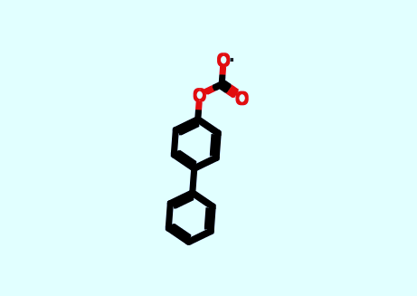 [O]C(=O)Oc1ccc(-c2ccccc2)cc1